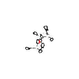 c1ccc(C2=NC(c3ccccc3)NC(c3cccc4oc5ccc(-c6ccc7c(c6)c6cc(-c8nc(-c9ccccc9)nc(-c9ccccc9)n8)ccc6n7-c6ccccc6)cc5c34)=N2)cc1